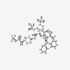 CN1C(=O)[C@@H](NC(=O)[C@H](CCC(F)(F)F)[C@H](CCC(F)(F)F)C(=O)NCN2CCC(NC(=O)OC(C)(C)C)CC2)N=C(c2ccccc2)c2ccccc21